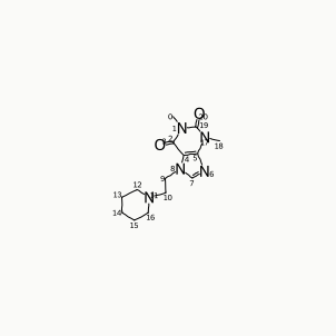 Cn1c(=O)c2c(ncn2CCN2CCCCC2)n(C)c1=O